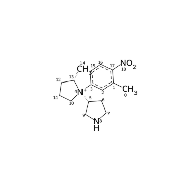 Cc1cc([N+]2([C@@H]3CCNC3)CCC[C@@H]2C)ccc1[N+](=O)[O-]